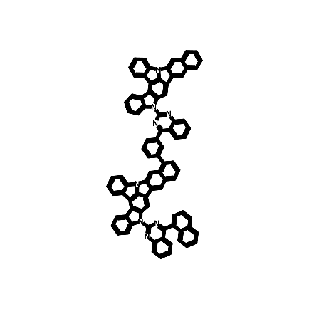 c1cc(-c2cccc3cc4c5cc6c(c7ccccc7n6-c6nc(-c7cccc8ccccc78)c7ccccc7n6)c6c7ccccc7n(c4cc23)c56)cc(-c2nc(-n3c4ccccc4c4c5c6ccccc6n6c7cc8ccccc8cc7c(cc43)c56)nc3ccccc23)c1